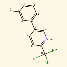 Cc1cccc(-c2ccc(C(F)(F)F)nc2)c1